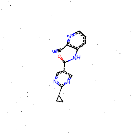 N#Cc1ncccc1NC(=O)c1cnc(C2CC2)nc1